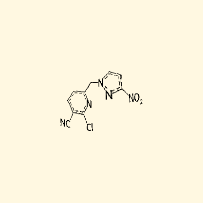 N#Cc1ccc(Cn2ccc([N+](=O)[O-])n2)nc1Cl